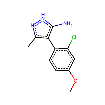 COc1ccc(-c2c(C)n[nH]c2N)c(Cl)c1